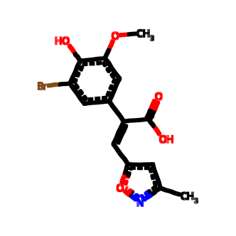 COc1cc(C(=Cc2cc(C)no2)C(=O)O)cc(Br)c1O